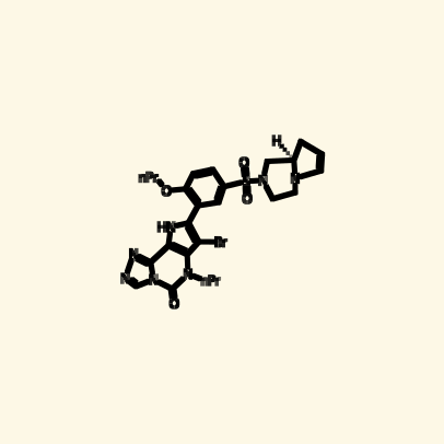 CCCOc1ccc(S(=O)(=O)N2CCN3C=CC[C@@H]3C2)cc1-c1[nH]c2c(c1Br)n(CCC)c(=O)n1cnnc21